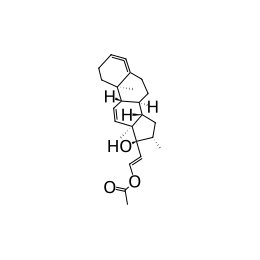 CC(=O)OC=C[C@@]1(O)[C@@H](C)C[C@H]2[C@@H]3CCC4=C=CCC[C@]4(C)[C@H]3C=C[C@@]21C